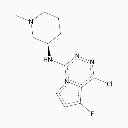 CN1CCC[C@@H](Nc2nnc(Cl)c3c(F)ccn23)C1